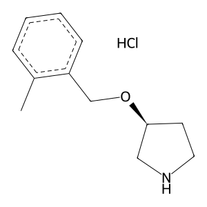 Cc1ccccc1CO[C@H]1CCNC1.Cl